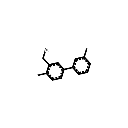 CC(=O)Cc1cc(-c2cccc(C)c2)ccc1C